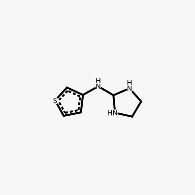 [c]1sccc1NC1NCCN1